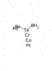 [BH2][Ta][Re].[Co].[Cr].[Pd].[Pt]